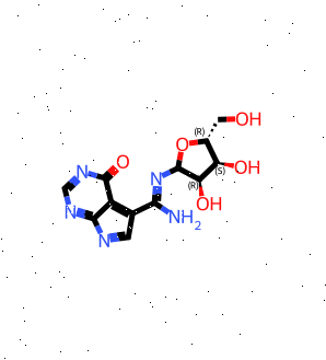 NC(=NC1O[C@H](CO)[C@@H](O)[C@H]1O)C1=C2C(=O)N=CN=C2N=C1